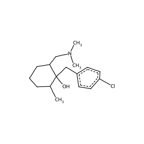 CC1CCCC(CN(C)C)C1(O)Cc1ccc(Cl)cc1